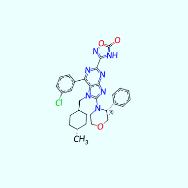 C[C@H]1CC[C@H](Cn2c(N3CCOC[C@H]3c3ccccc3)nc3nc(-c4noc(=O)[nH]4)nc(-c4cccc(Cl)c4)c32)CC1